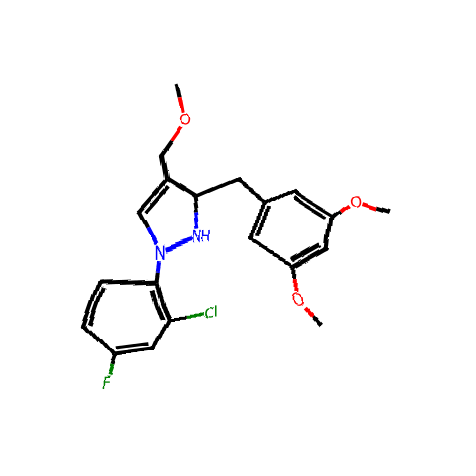 COCC1=CN(c2ccc(F)cc2Cl)NC1Cc1cc(OC)cc(OC)c1